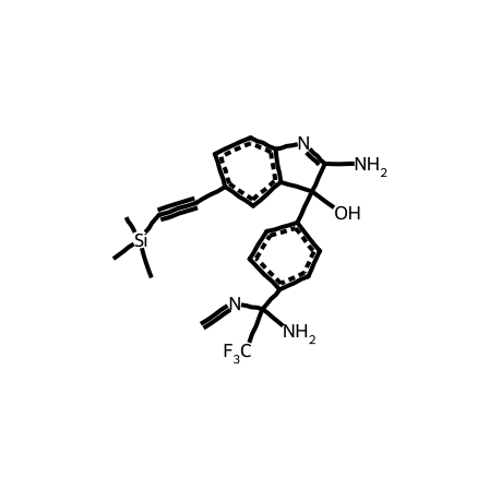 C=NC(N)(c1ccc(C2(O)C(N)=Nc3ccc(C#C[Si](C)(C)C)cc32)cc1)C(F)(F)F